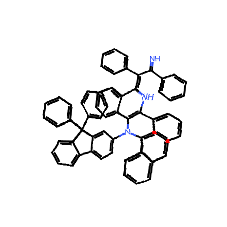 N=C(/C(=C1\NC(c2ccccc2)=C(N(c2ccc3c(c2)C(c2ccccc2)(c2ccccc2)c2ccccc2-3)c2cccc3ccccc23)c2ccccc21)c1ccccc1)c1ccccc1